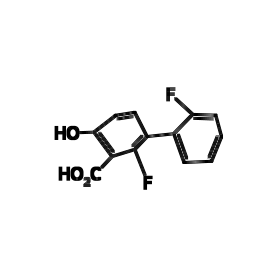 O=C(O)c1c(O)ccc(-c2ccccc2F)c1F